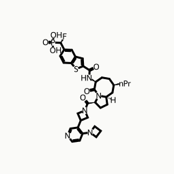 CCC[C@@H]1CC[C@H](NC(=O)c2cc3cc([C@H](F)P(=O)(O)O)ccc3s2)C(=O)N2[C@H](CC[C@H]2C(=O)N2CC(c3cnccc3N3CCC3)C2)C1